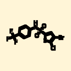 O=S(=O)(Nc1ccc(C(F)(F)F)cc1)c1cc(Br)c(Cl)s1